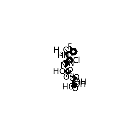 C[C@H](Nc1cc(Cl)nn2c([C@@H]3O[C@H](COP(=O)(O)CP(=O)(O)O)[C@@H](O)[C@H]3O)ncc12)c1ccccc1F